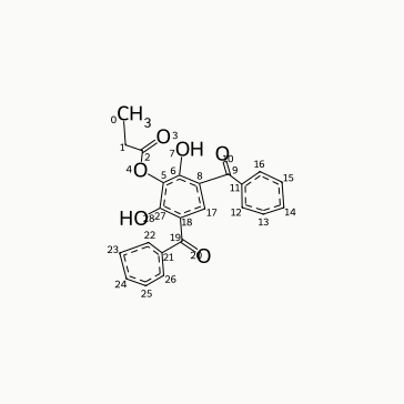 CCC(=O)Oc1c(O)c(C(=O)c2ccccc2)cc(C(=O)c2ccccc2)c1O